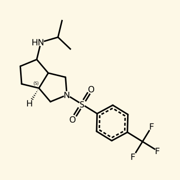 CC(C)NC1CC[C@@H]2CN(S(=O)(=O)c3ccc(C(F)(F)F)cc3)CC12